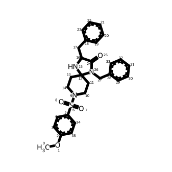 COc1ccc(S(=O)(=O)N2CCC3(CC2)NC(Cc2ccccc2)C(=O)N3Cc2ccccc2)cc1